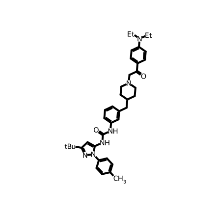 CCN(CC)c1ccc(C(=O)CN2CCC(Cc3cccc(NC(=O)Nc4cc(C(C)(C)C)nn4-c4ccc(C)cc4)c3)CC2)cc1